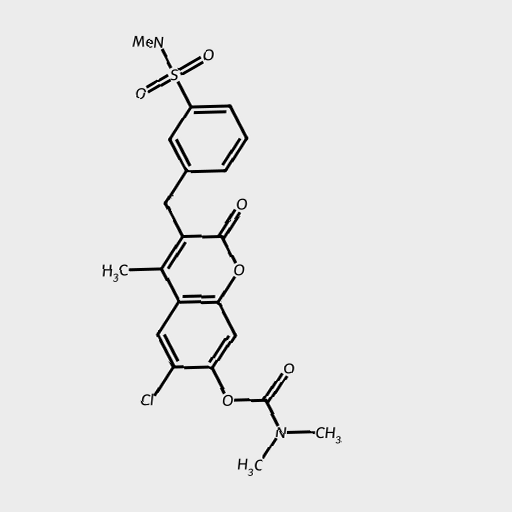 CNS(=O)(=O)c1cccc(Cc2c(C)c3cc(Cl)c(OC(=O)N(C)C)cc3oc2=O)c1